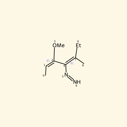 C/C=C(OC)\C(N=N)=C(\C)CC